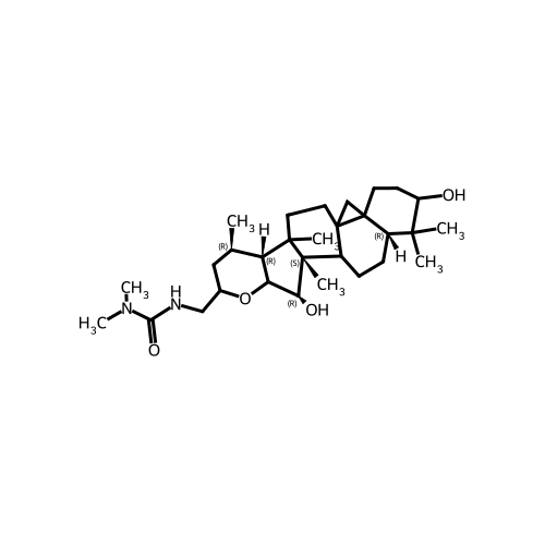 C[C@@H]1CC(CNC(=O)N(C)C)OC2[C@H]1C1(C)CCC34CC35CCC(O)C(C)(C)[C@@H]5CCC4[C@]1(C)[C@H]2O